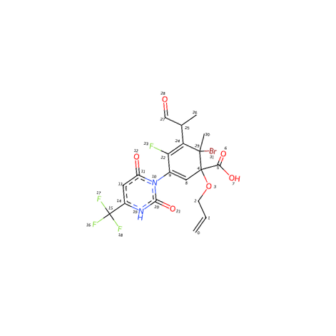 C=CCOC1(C(=O)O)C=C(n2c(=O)cc(C(F)(F)F)[nH]c2=O)C(F)=C(C(C)C=O)C1(C)Br